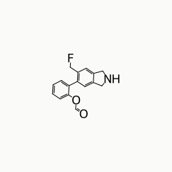 O=COc1ccccc1-c1cc2c(cc1CF)CNC2